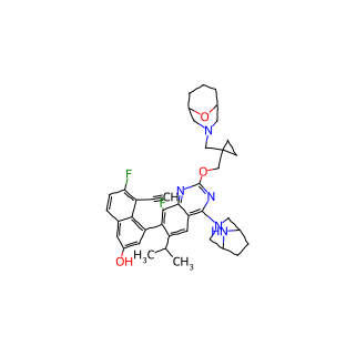 C#Cc1c(F)ccc2cc(O)cc(-c3c(C(C)C)cc4c(N5CC6CCC(C5)N6)nc(OCC5(CN6CC7CCCC(C6)O7)CC5)nc4c3F)c12